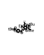 C=CCc1c(OC)c(C=CC(=O)c2ccc(OC(=O)C(C)(C)C)cc2)c(OCC)c(CC=C)c1OC(=O)C(C)(C)C